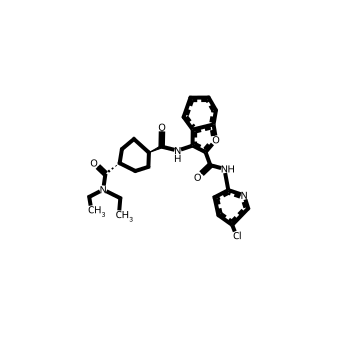 CCN(CC)C(=O)[C@H]1CC[C@H](C(=O)Nc2c(C(=O)Nc3ccc(Cl)cn3)oc3ccccc23)CC1